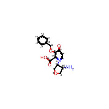 N[C@@H]1COC[C@H]1n1ccc(=O)c(OCc2ccccc2)c1C(=O)O